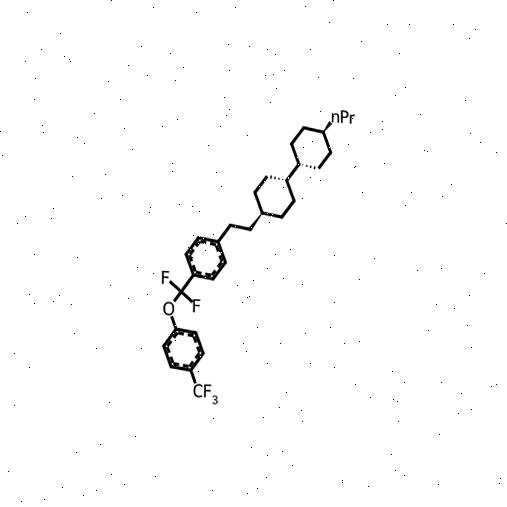 CCC[C@H]1CC[C@H]([C@H]2CC[C@H](CCc3ccc(C(F)(F)Oc4ccc(C(F)(F)F)cc4)cc3)CC2)CC1